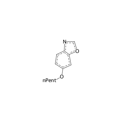 CCCCCOc1ccc2ncoc2c1